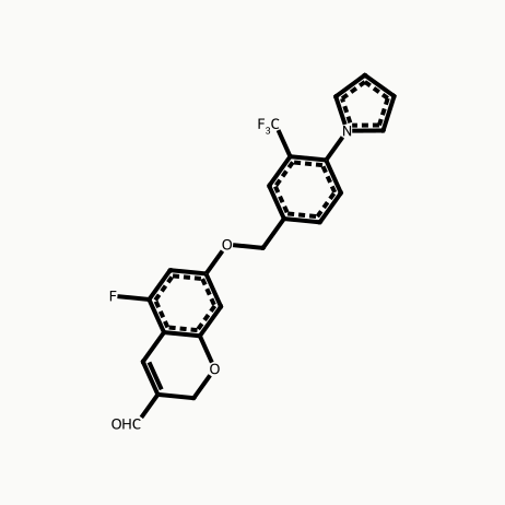 O=CC1=Cc2c(F)cc(OCc3ccc(-n4cccc4)c(C(F)(F)F)c3)cc2OC1